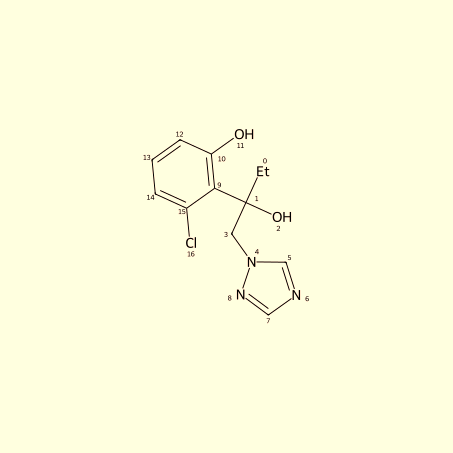 CCC(O)(Cn1cncn1)c1c(O)cccc1Cl